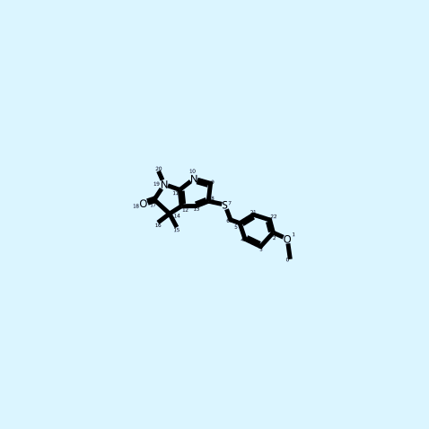 COc1ccc(CSc2cnc3c(c2)C(C)(C)C(=O)N3C)cc1